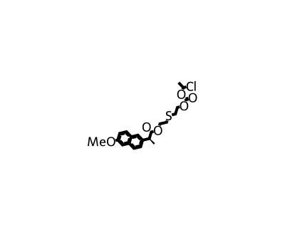 COc1ccc2cc([C@H](C)C(=O)OCCSCCOC(=O)OC(C)Cl)ccc2c1